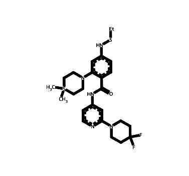 CCSNc1ccc(C(=O)Nc2ccnc(N3CCC(F)(F)CC3)c2)c(N2CCS(C)(C)CC2)c1